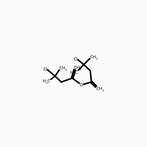 C=C(CC(C)(C)Cl)OC(=C)CC(C)(C)Cl